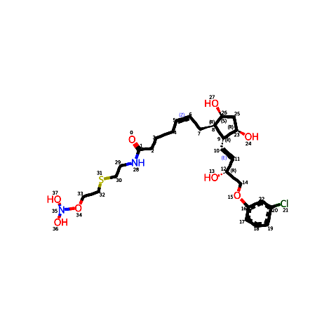 O=C(CCC/C=C\C[C@@H]1[C@@H](/C=C/[C@@H](O)COc2cccc(Cl)c2)[C@H](O)C[C@@H]1O)NCCSCCON(O)O